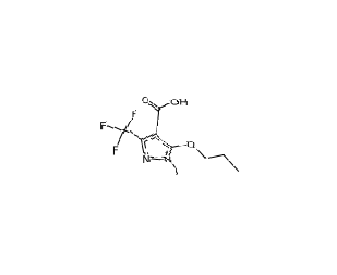 CCCOc1c(C(=O)O)c(C(F)(F)F)nn1C